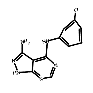 Nc1n[nH]c2ncnc(Nc3cccc(Cl)c3)c12